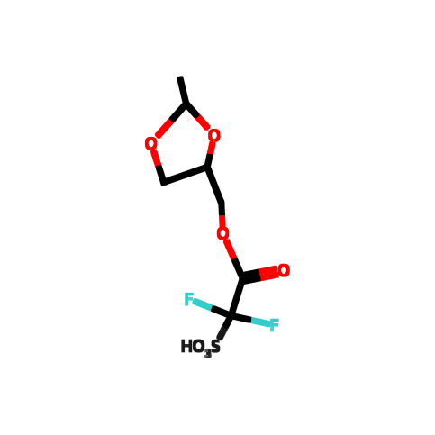 CC1OCC(COC(=O)C(F)(F)S(=O)(=O)O)O1